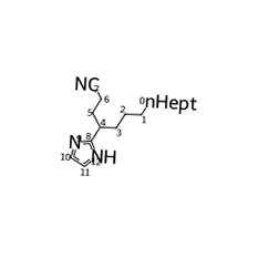 CCCCCCCCCCC(CCC#N)c1ncc[nH]1